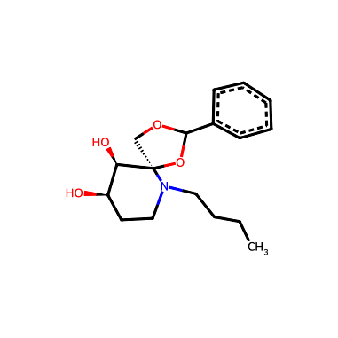 CCCCN1CC[C@@H](O)[C@@H](O)[C@]12COC(c1ccccc1)O2